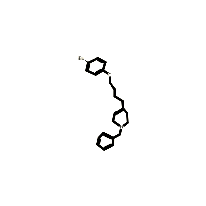 C[CH][C@@H](C)c1ccc(OCCCCC2=CCN(Cc3ccccc3)CC2)cc1